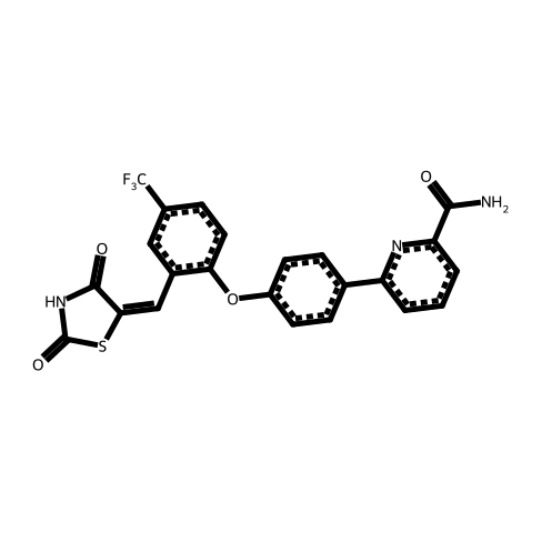 NC(=O)c1cccc(-c2ccc(Oc3ccc(C(F)(F)F)cc3C=C3SC(=O)NC3=O)cc2)n1